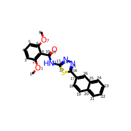 COc1cccc(OC)c1C(=O)Nc1nnc(-c2ccc3ccccc3c2)s1